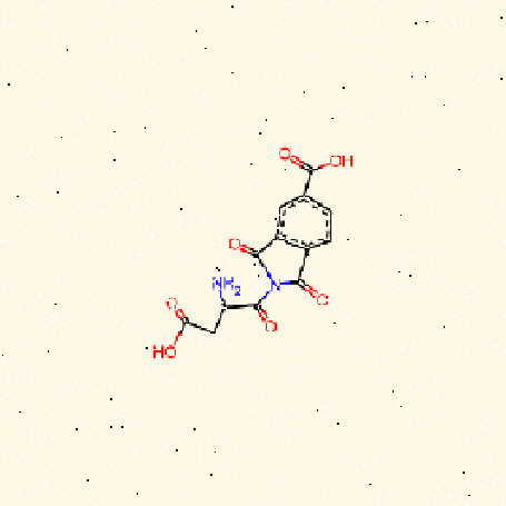 NC(CC(=O)O)C(=O)N1C(=O)c2ccc(C(=O)O)cc2C1=O